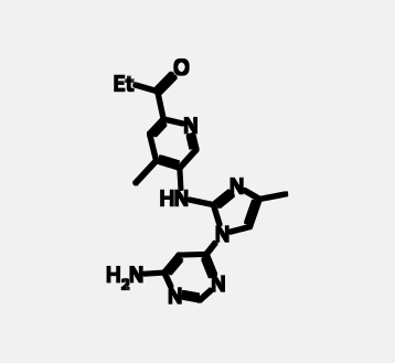 CCC(=O)c1cc(C)c(Nc2nc(C)cn2-c2cc(N)ncn2)cn1